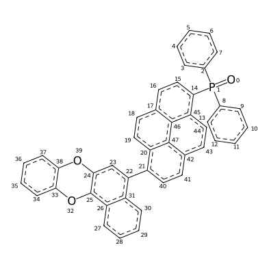 O=P(c1ccccc1)(c1ccccc1)c1ccc2ccc3c(-c4cc5c(c6ccccc46)Oc4ccccc4O5)ccc4ccc1c2c43